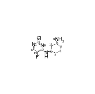 NC1CCC[C@@H](Nc2nc(Cl)ncc2F)C1